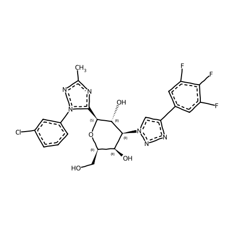 Cc1nc([C@@H]2O[C@H](CO)[C@H](O)[C@H](n3cc(-c4cc(F)c(F)c(F)c4)nn3)[C@H]2O)n(-c2cccc(Cl)c2)n1